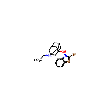 NCC(=O)O.OC12CC3CC(CC(C3)C1)C2.Sc1nc2ccccc2s1